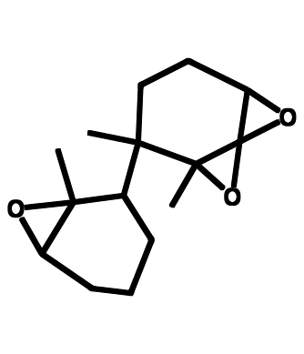 CC12OC1CCCC2C1(C)CCC2OC23OC13C